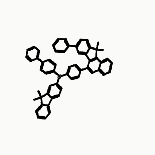 CC1(C)c2ccccc2-c2ccc(N(c3ccc(-c4ccccc4)cc3)c3ccc(-c4cc5ccccc5c5c4-c4cc(-c6ccccc6)ccc4C5(C)C)cc3)cc21